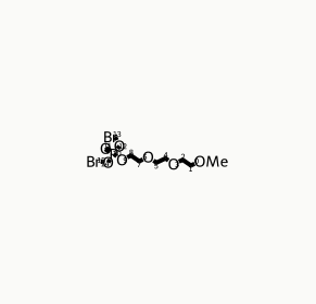 COCCOCCOCCOP(=O)(OBr)OBr